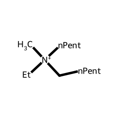 CCCCCC[N+](C)(CC)CCCCC